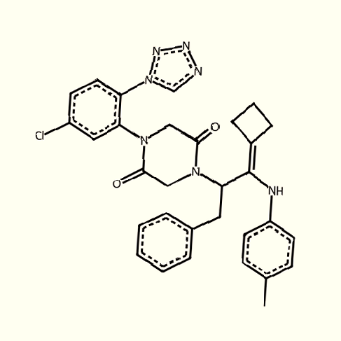 Cc1ccc(NC(=C2CCC2)C(Cc2ccccc2)N2CC(=O)N(c3cc(Cl)ccc3-n3cnnn3)CC2=O)cc1